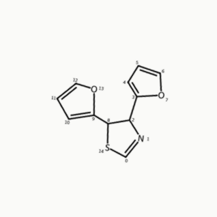 C1=NC(c2ccco2)C(c2ccco2)S1